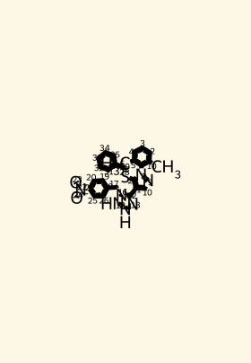 Cc1cccc(C)c1-n1ncc(C2=NNNN2Cc2ccc([N+](=O)[O-])cc2)c1SCc1ccccc1